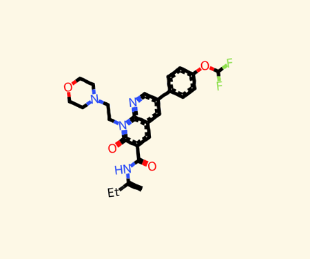 C=C(CC)NC(=O)c1cc2cc(-c3ccc(OC(F)F)cc3)cnc2n(CCN2CCOCC2)c1=O